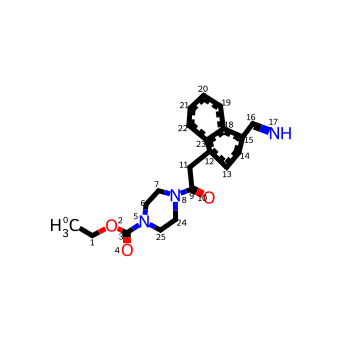 CCOC(=O)N1CCN(C(=O)Cc2ccc(C=N)c3ccccc23)CC1